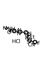 CCc1nc2ccc(-c3cnc(N4CCN(C(=O)NC5CN(C)C5)CC4)nc3)cn2c1N(C)c1nc(-c2ccc(F)cc2)c(C#N)s1.Cl